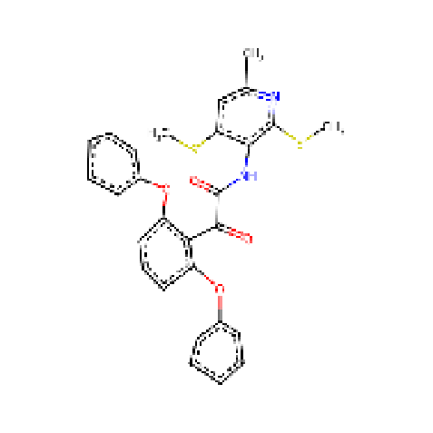 CSc1cc(C)nc(SC)c1NC(=O)C(=O)c1c(Oc2ccccc2)cccc1Oc1ccccc1